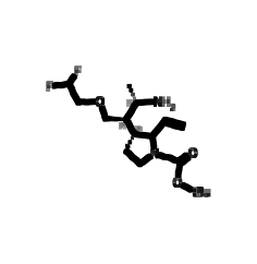 C=CC1[C@@H]([C@@H](COCC(F)F)[C@H](C)N)CCN1C(=O)OC(C)(C)C